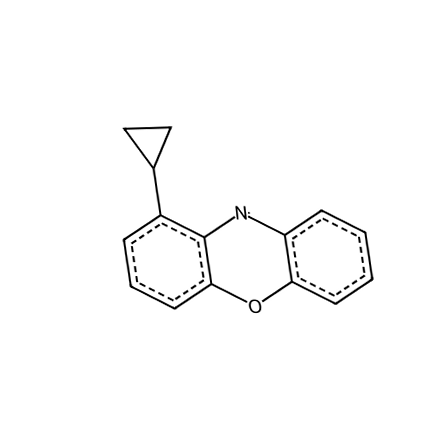 c1ccc2c(c1)[N]c1c(cccc1C1CC1)O2